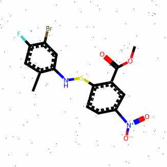 COC(=O)c1cc([N+](=O)[O-])ccc1SNc1cc(Br)c(F)cc1C